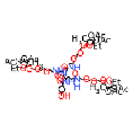 CCC1OC(OCCOCCOCCNC(=O)CCC(NC(=O)C2CCC(O)CC2)C(=O)N(CC(=O)NCCOCCOCCOC2OC(CC)C(OC(C)=O)C(OC(C)=O)C2C)CC(=O)NCCOCCOCCOC2OC(CC)C(OC(C)=O)C(OC(C)=O)C2C)C(C)C(OC(C)=O)C1OC(C)=O